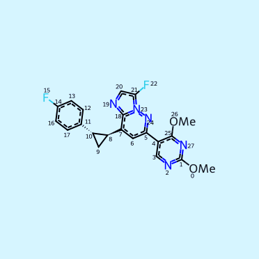 COc1ncc(-c2cc([C@H]3C[C@@H]3c3ccc(F)cc3)c3ncc(F)n3n2)c(OC)n1